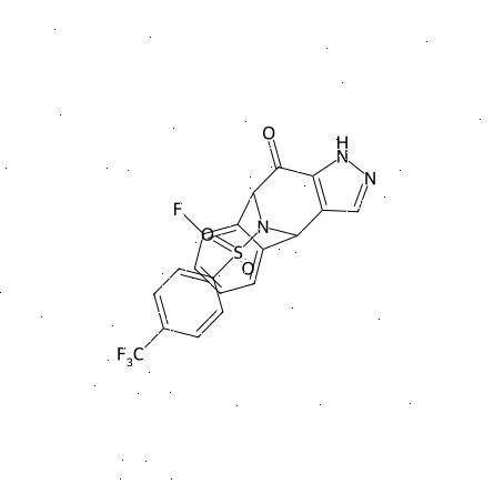 O=C1c2[nH]ncc2C2c3cccc(F)c3C1N2S(=O)(=O)c1ccc(C(F)(F)F)cc1